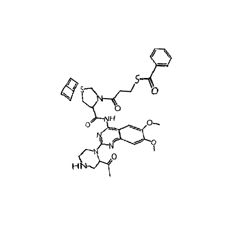 COc1cc2nc(N3CCNCC3C(C)=O)nc(NC(=O)C3CSCN3C(=O)CCSC(=O)c3ccccc3)c2cc1OC.c1cc2ccc1-2